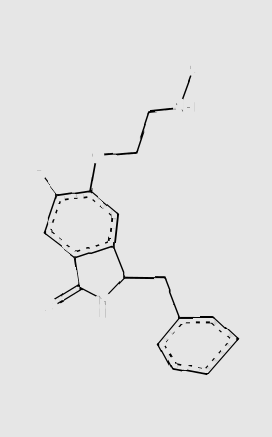 O=C1NC(Cc2ccccc2)c2cc(OCCNCl)c(F)cc21